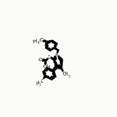 Cc1ccc(Cn2cc(C)c(-c3ccc(C)cc3)c2OC(=O)O)cc1